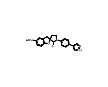 [2H]C1N(c2ccc(-c3cn[nH]c3)cc2)CCC12Cc1cc(OC)ccc1O2